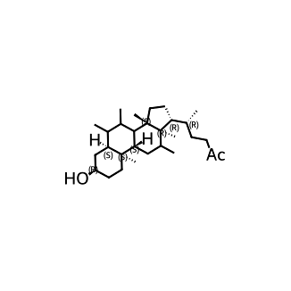 CC(=O)CC[C@@H](C)[C@H]1CC[C@@]2(C)C3C(C)C(C)[C@@H]4C[C@H](O)CC[C@]4(C)[C@H]3CC(C)[C@]12C